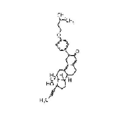 CC#C[C@]1(O)CC[C@H]2[C@@H]3CCC4=CC(=O)C(c5ccc(OCCN(C)C)cc5)CC4=C3CC[C@@]21C